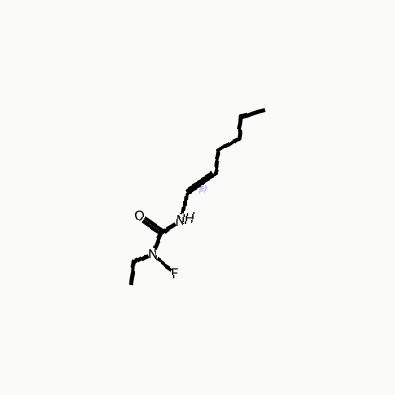 CCCC/C=C/NC(=O)N(F)CC